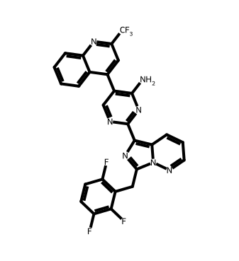 Nc1nc(-c2nc(Cc3c(F)ccc(F)c3F)n3ncccc23)ncc1-c1cc(C(F)(F)F)nc2ccccc12